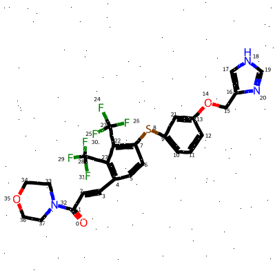 O=C(C=Cc1ccc(Sc2cccc(OCc3c[nH]cn3)c2)c(C(F)(F)F)c1C(F)(F)F)N1CCOCC1